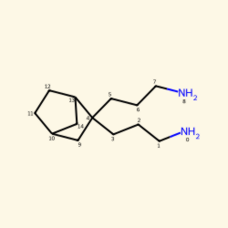 NCCCC1(CCCN)CC2CCC1C2